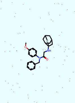 COc1ccc(N(Cc2ccccc2)C(=O)CNC23CC4CC(CC2C4)C3)cc1